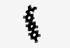 CCC(C)CC1CCC(c2ccc(C3CCC(C)CC3)cc2)CC1